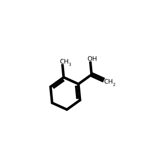 C=C(O)C1=CCCC=C1C